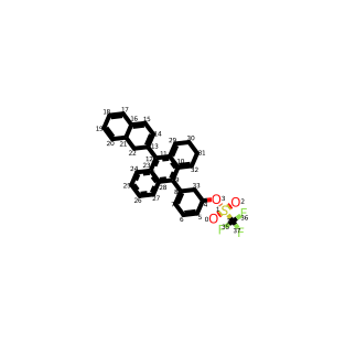 O=S(=O)(OC1C=CC=C(c2c3c(c(C4=CC=C5C=CC=CC5C4)c4ccccc24)=CCCC=3)C1)C(F)(F)F